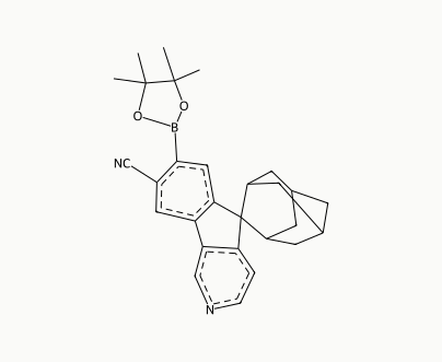 CC1(C)OB(c2cc3c(cc2C#N)-c2cnccc2C32C3CC4CC(C3)CC2C4)OC1(C)C